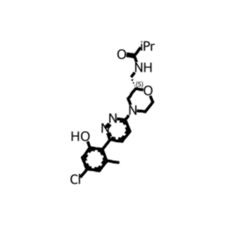 Cc1cc(Cl)cc(O)c1-c1ccc(N2CCO[C@@H](CNC(=O)C(C)C)C2)nn1